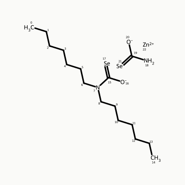 CCCCCCCN(CCCCCCC)C([O-])=[Se].NC([O-])=[Se].[Zn+2]